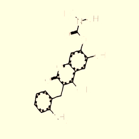 Cc1cc2c(C)c(Cc3ccccc3N)c(=O)oc2cc1OC(=O)N(C)C